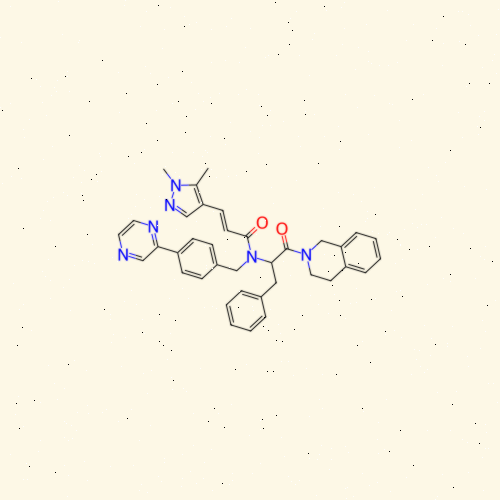 Cc1c(C=CC(=O)N(Cc2ccc(-c3cnccn3)cc2)C(Cc2ccccc2)C(=O)N2CCc3ccccc3C2)cnn1C